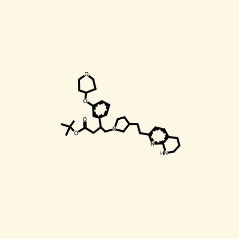 CC(C)(C)OC(=O)CC(CN1CCC(CCc2ccc3c(n2)NCCC3)C1)c1cccc(OC2CCOCC2)c1